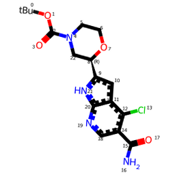 CC(C)(C)OC(=O)N1CCO[C@@H](c2cc3c(Cl)c(C(N)=O)cnc3[nH]2)C1